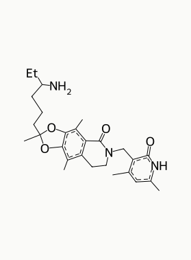 CCC(N)CCCC1(C)Oc2c(C)c3c(c(C)c2O1)C(=O)N(Cc1c(C)cc(C)[nH]c1=O)CC3